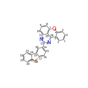 c1ccc2c(c1)Oc1cccc3nc(-c4ccc5sc6ccccc6c5c4)nc-2c13